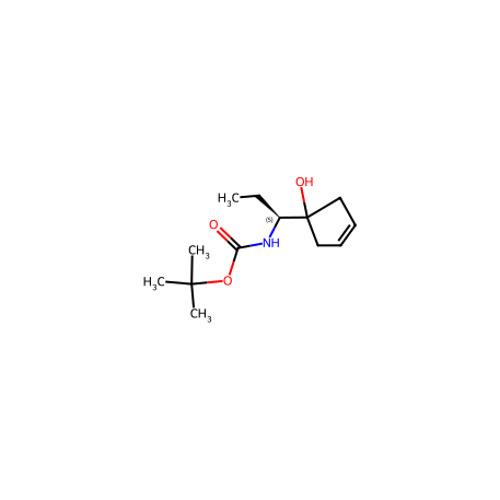 CC[C@H](NC(=O)OC(C)(C)C)C1(O)CC=CC1